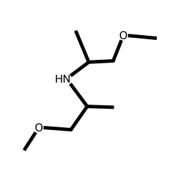 COCC(C)NC(C)COC